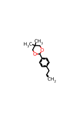 C=CCc1ccc(C2OCC(C)(C)CO2)cc1